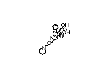 O=C(O)C=C(C(=O)O)C1(c2ccccc2)Nn2cc(COCCN3CCCCCC3)nc2S1